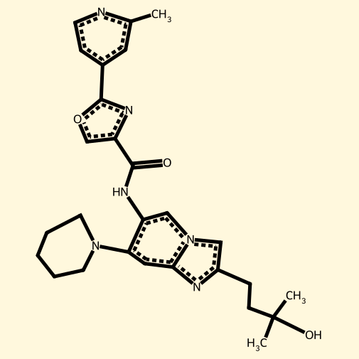 Cc1cc(-c2nc(C(=O)Nc3cn4cc(CCC(C)(C)O)nc4cc3N3CCCCC3)co2)ccn1